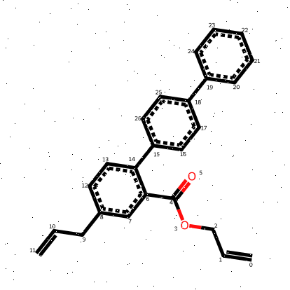 C=CCOC(=O)c1cc(CC=C)ccc1-c1ccc(-c2ccccc2)cc1